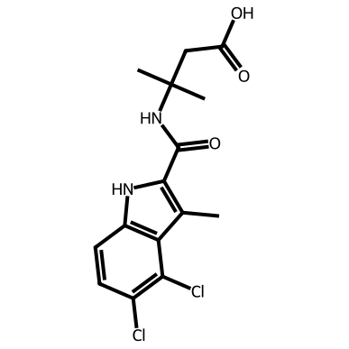 Cc1c(C(=O)NC(C)(C)CC(=O)O)[nH]c2ccc(Cl)c(Cl)c12